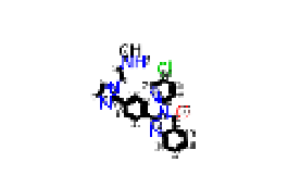 CNCCn1ccnc1-c1ccc(-c2nc3ccccc3c(=O)n2-c2ccc(Cl)cn2)cc1